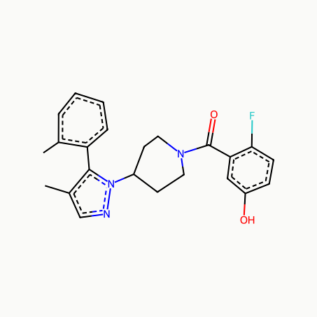 Cc1ccccc1-c1c(C)cnn1C1CCN(C(=O)c2cc(O)ccc2F)CC1